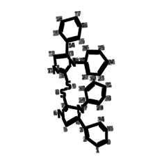 c1ccc(-c2cnc(SSc3ncc(-c4ccccc4)n3-c3ccccc3)n2-c2ccccc2)cc1